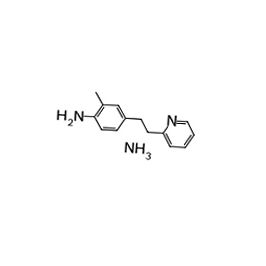 Cc1cc(CCc2ccccn2)ccc1N.N